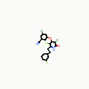 N#Cc1cc(Cl)cc(Oc2c(F)c(CCc3cccc(F)c3)[nH]c(=O)c2Cl)c1